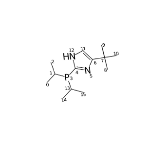 CC(C)P(c1nc(C(C)(C)C)c[nH]1)C(C)C